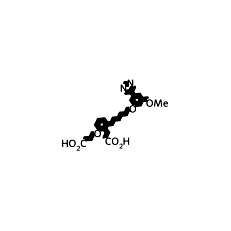 COCc1cc(OCCCCCCc2cccc(OCCCC(=O)O)c2CCC(=O)O)cc(-c2cncnc2)c1